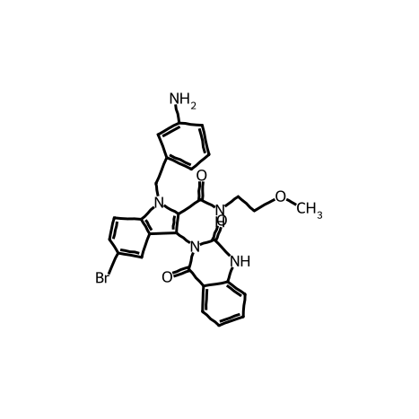 COCCNC(=O)c1c(-n2c(=O)[nH]c3ccccc3c2=O)c2cc(Br)ccc2n1Cc1cccc(N)c1